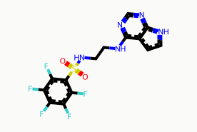 O=S(=O)(NCCNc1ncnc2[nH]ccc12)c1c(F)c(F)c(F)c(F)c1F